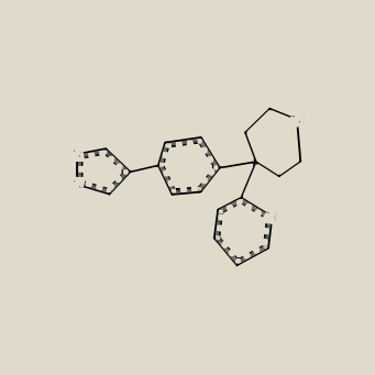 c1ccc(C2(c3ccc(-c4cn[nH]c4)cc3)CCNCC2)nc1